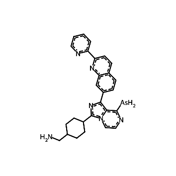 NCC1CCC(c2nc(-c3ccc4ccc(-c5ccccn5)nc4c3)c3c([AsH2])nccn23)CC1